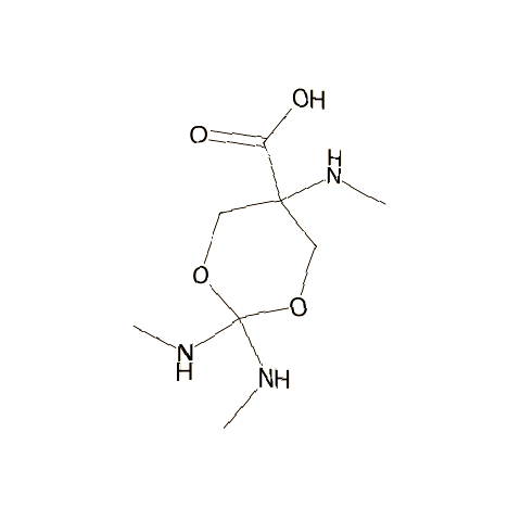 CNC1(NC)OCC(NC)(C(=O)O)CO1